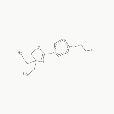 CCOc1ccc(C2=NC(CO)(CO)CO2)cc1